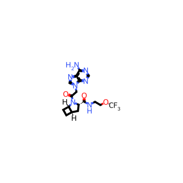 Nc1ncnc2c1ncn2CC(=O)N1[C@@H]2CC[C@@H]2C[C@H]1C(=O)NCCOC(F)(F)F